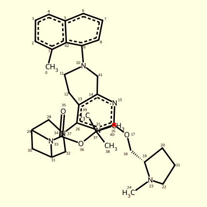 Cc1cccc2cccc(N3CCc4c(nc(OC[C@@H]5CCCN5C)nc4N4CC5CC(C4)N5C(=O)OC(C)(C)C)C3)c12